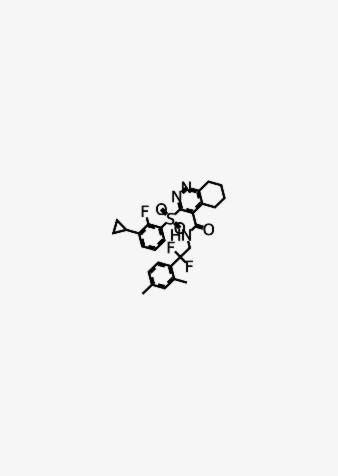 Cc1ccc(C(F)(F)CNC(=O)c2c(S(=O)(=O)c3cccc(C4CC4)c3F)nnc3c2CCCC3)c(C)c1